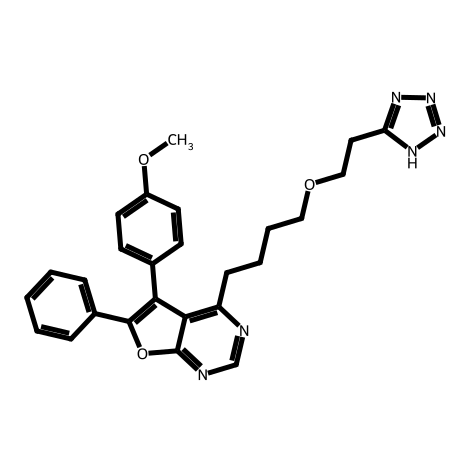 COc1ccc(-c2c(-c3ccccc3)oc3ncnc(CCCCOCCc4nnn[nH]4)c23)cc1